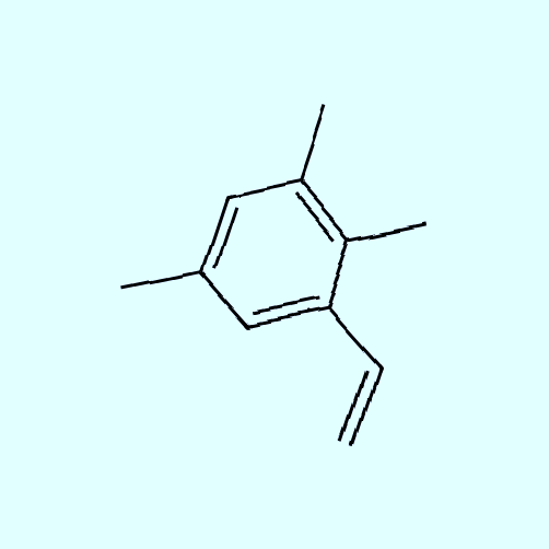 C=Cc1cc(C)cc(C)c1C